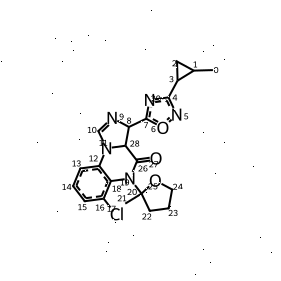 CC1CC1c1noc(C2N=CN3c4cccc(Cl)c4N(C4(C)CCCO4)C(=O)C23)n1